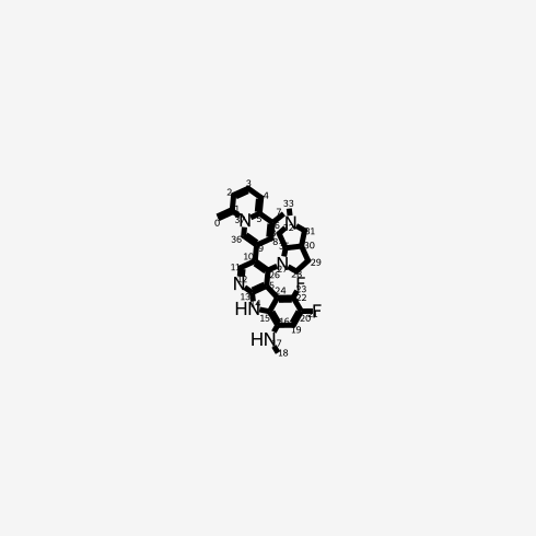 C=C1C=CC=C2C(C)=CC(c3cnc4[nH]c5c(NC)cc(F)c(F)c5c4c3N3CCC4CN(C)CC43)=CN12